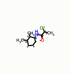 CC(Cl)C(=O)NC1CCCC(C)C1C